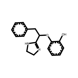 Oc1ccccc1OC(Cc1ccccc1)C1=NCCN1